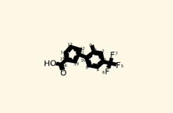 Cc1cc(C(F)(F)F)ccc1-c1cccc(C(=O)O)c1